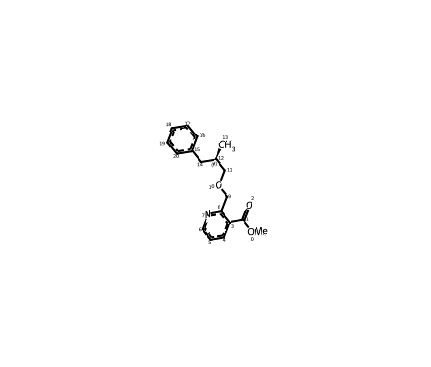 COC(=O)c1cccnc1COC[C@H](C)Cc1ccccc1